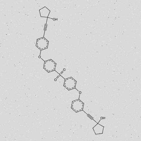 O=S(=O)(c1ccc(Oc2ccc(C#CC3(O)CCCC3)cc2)cc1)c1ccc(Oc2cccc(C#CC3(O)CCCC3)c2)cc1